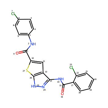 O=C(Nc1ccc(Cl)cc1)c1cc2c(NC(=O)c3ccccc3Cl)n[nH]c2s1